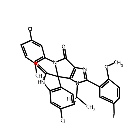 COc1ccc(F)cc1-c1nc2c(n1C(C)C)C1(C(=O)Nc3cc(Cl)ccc31)N(c1cc(Cl)ccc1C)C2=O